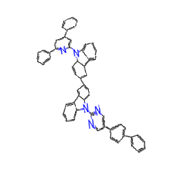 C1=CC2C(C=C1c1ccc3c(c1)c1ccccc1n3-c1ncc(-c3ccc(-c4ccccc4)cc3)cn1)c1ccccc1N2c1cc(-c2ccccc2)cc(-c2ccccc2)n1